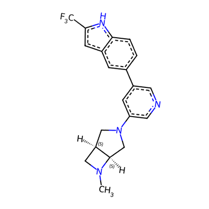 CN1C[C@H]2CN(c3cncc(-c4ccc5[nH]c(C(F)(F)F)cc5c4)c3)C[C@H]21